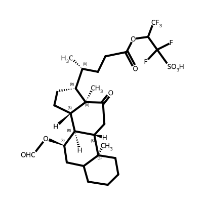 C[C@H](CCC(=O)OC(C(F)(F)F)C(F)(F)S(=O)(=O)O)[C@H]1CC[C@H]2[C@@H]3[C@H](OC=O)CC4CCCC[C@]4(C)[C@H]3CC(=O)[C@]12C